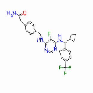 NC(=O)Cc1ccc(CNc2ncnc(NC(c3ccc(C(F)(F)F)cc3)C3CCC3)c2F)cc1